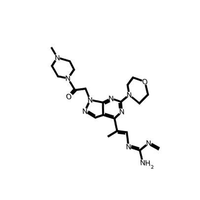 C=N/C(N)=N\C=C(/C)c1nc(N2CCOCC2)nc2c1cnn2CC(=O)N1CCN(C)CC1